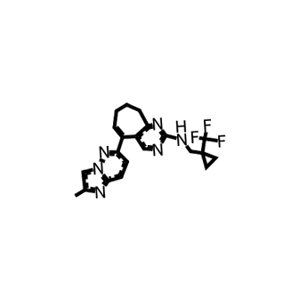 Cc1cn2nc(C3=CCCCc4nc(NCC5(C(F)(F)F)CC5)ncc43)ccc2n1